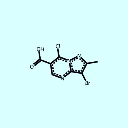 Cc1nn2c(Cl)c(C(=O)O)cnc2c1Br